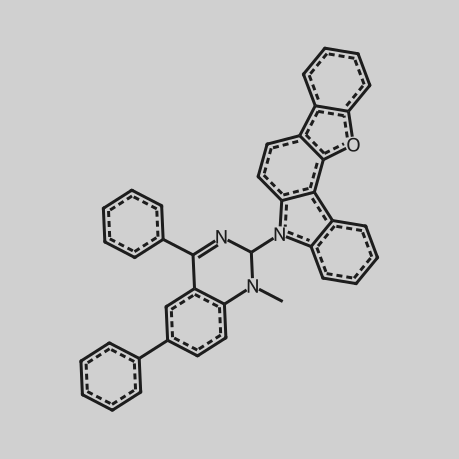 CN1c2ccc(-c3ccccc3)cc2C(c2ccccc2)=NC1n1c2ccccc2c2c3oc4ccccc4c3ccc21